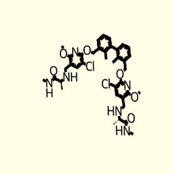 CNC(=O)[C@H](C)NCc1cc(Cl)c(OCc2cccc(-c3cccc(COc4nc(OC)c(CN[C@@H](C)C(=O)NC)cc4Cl)c3C)c2C)nc1OC